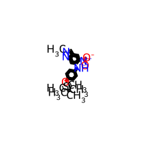 Cn1cc2cc([N+](=O)[O-])c(NC3CCC(O[Si](C)(C)C(C)(C)C)CC3)cc2n1